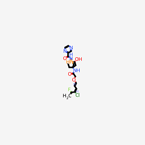 C=C(F)/C(Cl)=C\C=C\OCC(=O)NC12CC[PH](NC(=O)c3cnccn3)(C1)C(O)C2